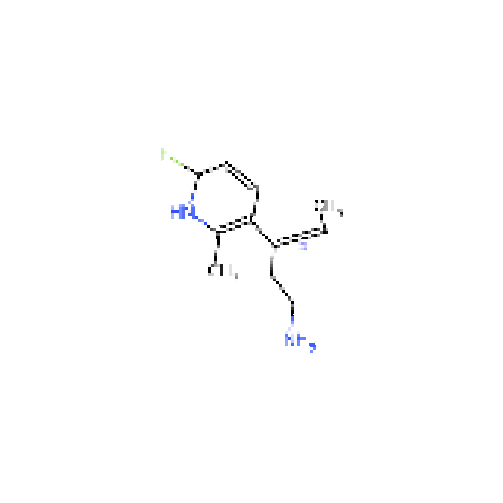 C/C=C(/CCN)C1=C(C)NC(F)C=C1